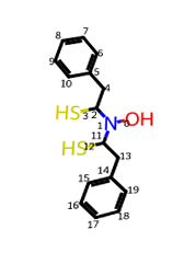 ON(C(S)Cc1ccccc1)C(S)Cc1ccccc1